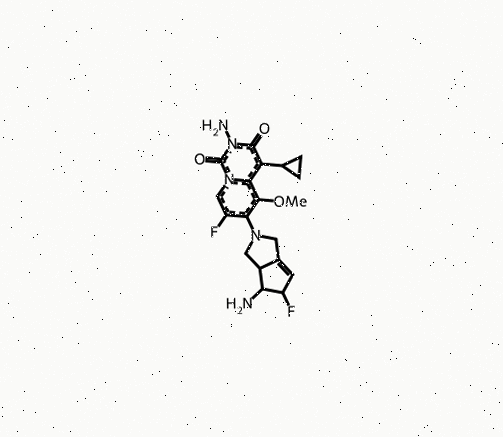 COc1c(N2CC3=CC(F)C(N)C3C2)c(F)cn2c(=O)n(N)c(=O)c(C3CC3)c12